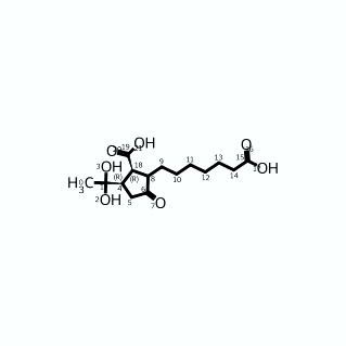 CC(O)(O)[C@@H]1CC(=O)C(CCCCCCC(=O)O)[C@@H]1C(=O)O